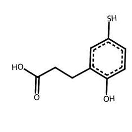 O=C(O)CCc1cc(S)ccc1O